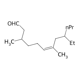 CCCC(CC)C/C(C)=C\CCC(C)CC=O